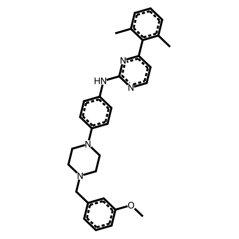 COc1cccc(CN2CCN(c3ccc(Nc4nccc(-c5c(C)cccc5C)n4)cc3)CC2)c1